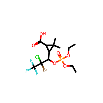 CCOP(=O)(OCC)OC(C1C(C(=O)O)C1(C)C)C(Cl)(Br)C(F)(F)F